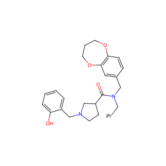 CC(C)CN(Cc1ccc2c(c1)OCCCO2)C(=O)C1CCN(Cc2ccccc2O)C1